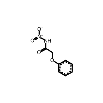 O=C(COc1ccccc1)N[N+](=O)[O-]